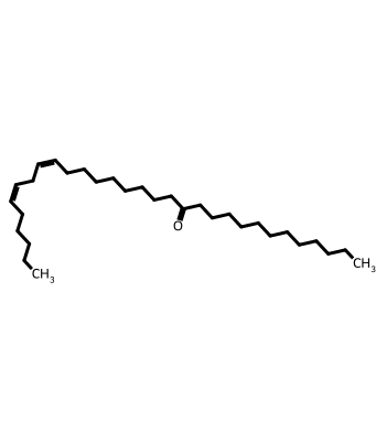 CCCCC/C=C\C/C=C\CCCCCCCCC(=O)CCCCCCCCCCCC